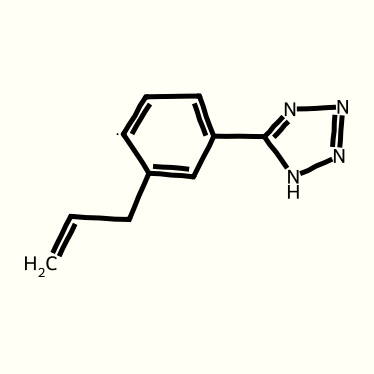 C=CCc1[c]ccc(-c2nnn[nH]2)c1